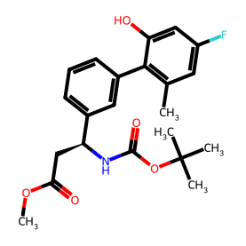 COC(=O)C[C@H](NC(=O)OC(C)(C)C)c1cccc(-c2c(C)cc(F)cc2O)c1